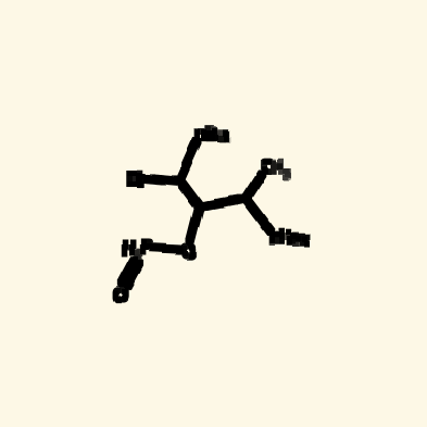 CCCCCCC(C)C(O[PH2]=O)C(CC)CCCC